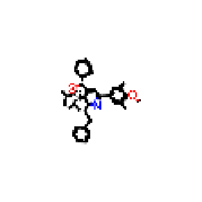 COc1c(C)cc(-c2cc3c(c(CCc4ccccc4)n2)[Si](C(C)C)(C(C)C)O[C@H]3c2ccccc2)cc1C